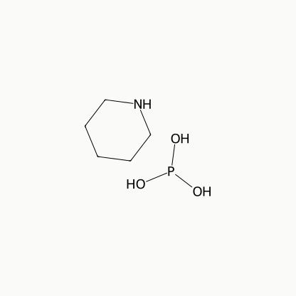 C1CCNCC1.OP(O)O